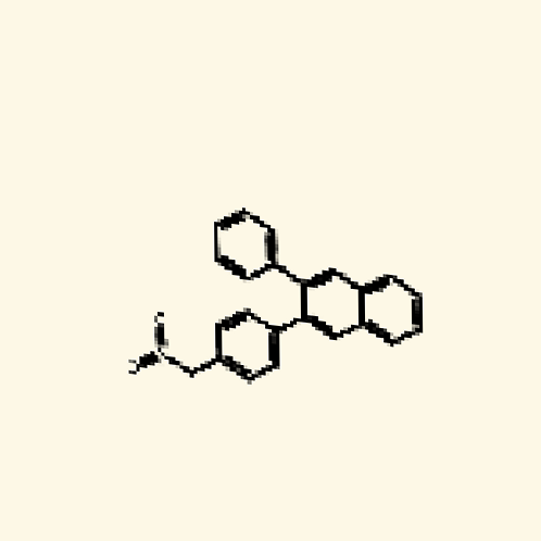 O=[SH](=O)Cc1ccc(-c2cc3ccccc3cc2-c2ccccc2)cc1